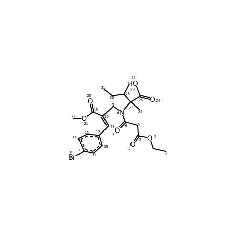 CCOC(=O)CC(=O)N(CC(=Cc1ccc(Br)cc1)C(=O)OC)C(C)(C(=O)O)C(C)CC